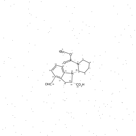 CC(C)(C)OC(=O)N1CCCC[C@@H]1N1c2cccc(C=O)c2C[C@H]1C(=O)O